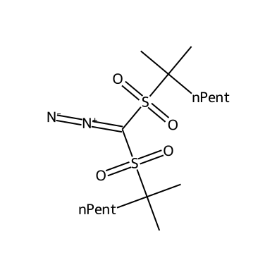 CCCCCC(C)(C)S(=O)(=O)C(=[N+]=[N-])S(=O)(=O)C(C)(C)CCCCC